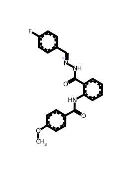 COc1ccc(C(=O)Nc2ccccc2C(=O)N/N=C/c2ccc(F)cc2)cc1